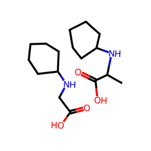 CC(NC1CCCCC1)C(=O)O.O=C(O)CNC1CCCCC1